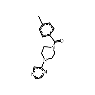 Cc1ccc(C(=O)N2CCN(c3cnccn3)CC2)cc1